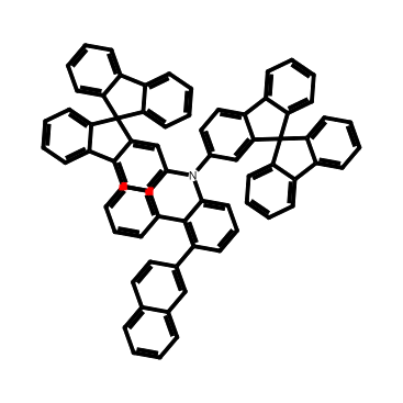 c1ccc(-c2c(-c3ccc4ccccc4c3)cccc2N(c2ccc3c(c2)C2(c4ccccc4-c4ccccc42)c2ccccc2-3)c2ccc3c(c2)C2(c4ccccc4-c4ccccc42)c2ccccc2-3)cc1